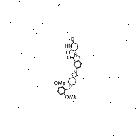 COc1cccc(OC)c1CN1CCC2(CC1)CN(c1ccc3c(c1)C(=O)N(C1CCC(=O)NC1=O)C3)C2